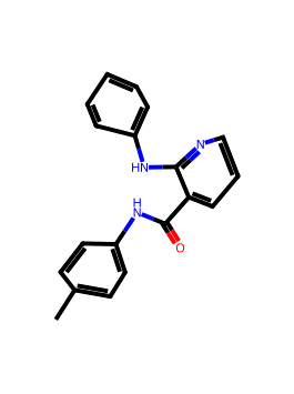 Cc1ccc(NC(=O)c2cccnc2Nc2ccccc2)cc1